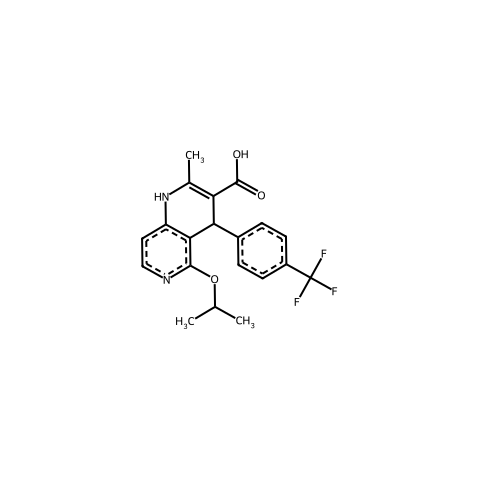 CC1=C(C(=O)O)C(c2ccc(C(F)(F)F)cc2)c2c(ccnc2OC(C)C)N1